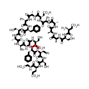 CC[C@H](C)[C@H](NC(=O)[C@H](C)NC(=O)[C@H](CO)NC(=O)[C@H](Cc1ccccc1)NC(=O)[C@@H](NC(=O)[C@H](C)NC(=O)[C@H](CC(=O)O)NC(=O)[C@@H](NC(=O)[C@H](C)NC(=O)[C@H](C)NC(=O)[C@H](C)NC(=O)[C@H](CO)NC(=O)[C@@H](N)CC(=O)O)C(C)C)C(C)C)C(=O)N[C@@H](CCC(=O)O)C(=O)N[C@@H](CO)C(=O)N[C@@H](Cc1ccccc1)C(=O)N[C@@H](CC(C)C)C(=O)N[C@@H](CO)C(=O)N[C@@H](CCC(=O)O)C(=O)NCC(=O)O